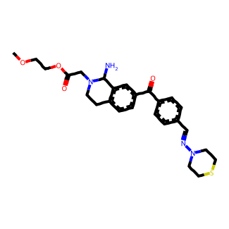 COCCOC(=O)CN1CCc2ccc(C(=O)c3ccc(C=NN4CCSCC4)cc3)cc2C1N